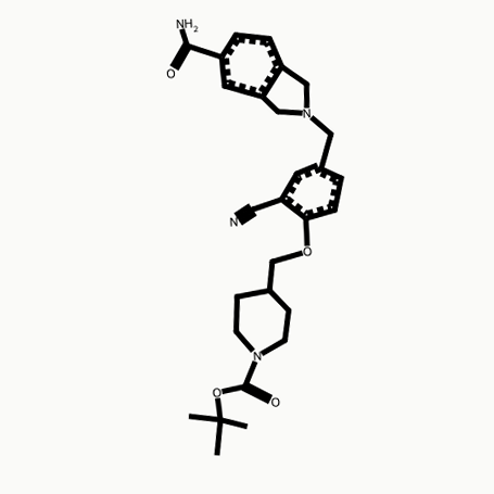 CC(C)(C)OC(=O)N1CCC(COc2ccc(CN3Cc4ccc(C(N)=O)cc4C3)cc2C#N)CC1